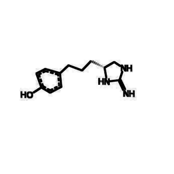 N=C1NC[C@@H](CCCc2ccc(O)cc2)N1